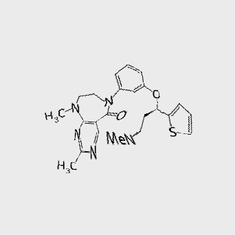 CNCC[C@@H](Oc1cccc(N2CCN(C)c3nc(C)ncc3C2=O)c1)c1cccs1